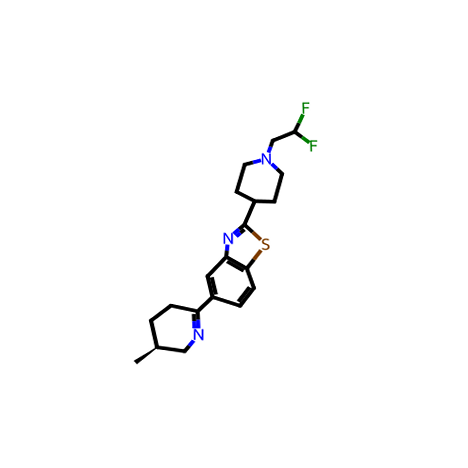 C[C@H]1CCC(c2ccc3sc(C4CCN(CC(F)F)CC4)nc3c2)=NC1